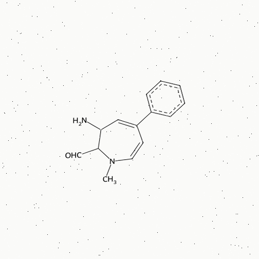 CN1C=CC(c2ccccc2)=CC(N)C1C=O